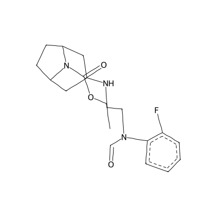 CCOC(=O)N1C2CCC1CC(NCCN(C=O)c1ccccc1F)C2